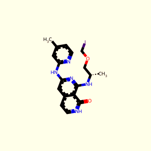 Cc1ccnc(Nc2cc3cc[nH]c(=O)c3c(N[C@@H](C)COCI)n2)c1